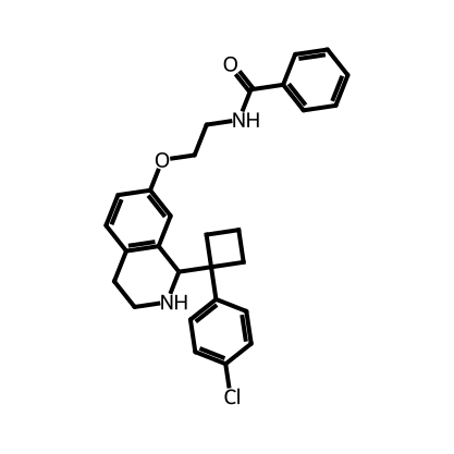 O=C(NCCOc1ccc2c(c1)C(C1(c3ccc(Cl)cc3)CCC1)NCC2)c1ccccc1